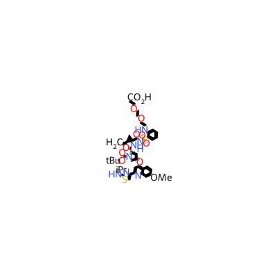 C=CC1CC1(NC(=O)[C@@H]1C[C@@H](Oc2cc(-c3csc(NC(C)C)n3)nc3cc(OC)ccc23)CN1C(=O)OC(C)(C)C)C(=O)NS(=O)(=O)c1ccccc1NCCOCCOCCC(=O)O